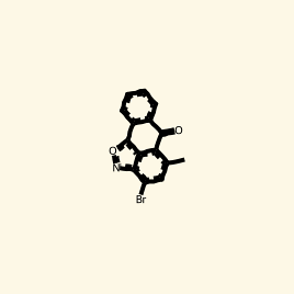 Cc1cc(Br)c2noc3c2c1C(=O)c1ccccc1-3